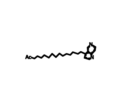 CC(=O)CCCCCCCCCCCCCCc1ccnc2ccncc12